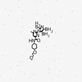 Bc1nc(B)n(-c2nc(C)cc(C(=O)N[C@H]3CC[C@H](OCCOC)CC3)n2)c1B